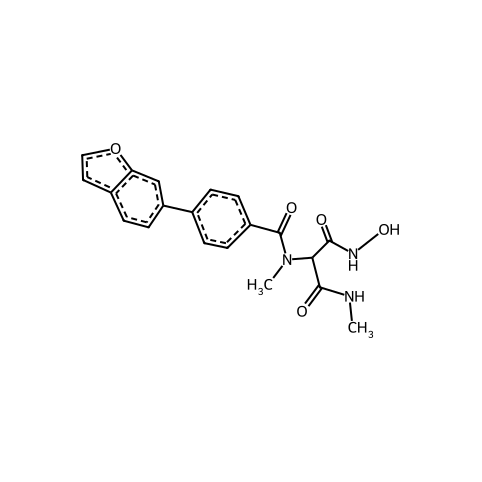 CNC(=O)C(C(=O)NO)N(C)C(=O)c1ccc(-c2ccc3ccoc3c2)cc1